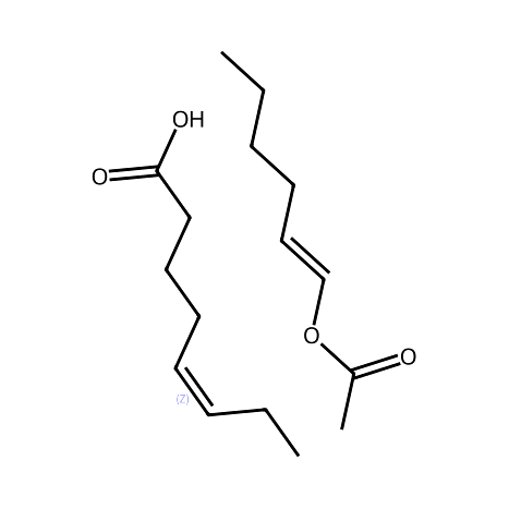 CC/C=C\CCCC(=O)O.CCCCC=COC(C)=O